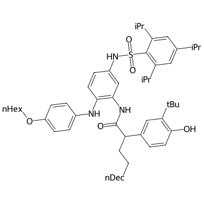 CCCCCCCCCCCCC(C(=O)Nc1cc(NS(=O)(=O)c2c(C(C)C)cc(C(C)C)cc2C(C)C)ccc1Nc1ccc(OCCCCCC)cc1)c1ccc(O)c(C(C)(C)C)c1